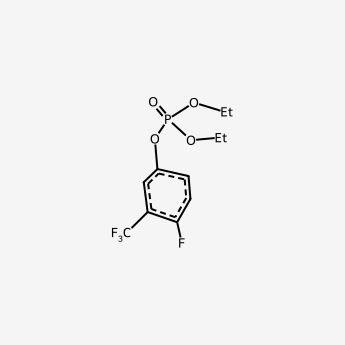 CCOP(=O)(OCC)Oc1ccc(F)c(C(F)(F)F)c1